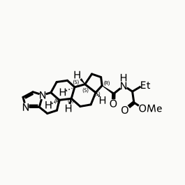 CCC(NC(=O)[C@@H]1CC[C@H]2[C@@H]3CCC4[C@H](CCc5nccn54)[C@H]3CC[C@@H]21)C(=O)OC